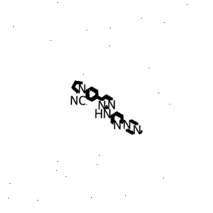 CN1CCN(c2ccc(Nc3nccc(-c4ccc(N5CCCC5)c(C#N)c4)n3)cn2)CC1